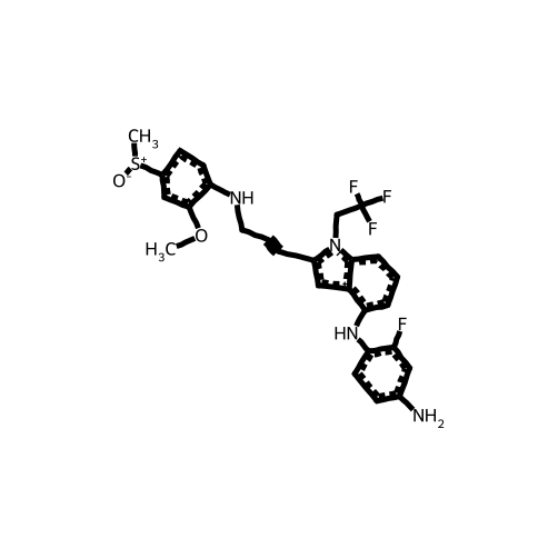 COc1cc([S+](C)[O-])ccc1NCC#Cc1cc2c(Nc3ccc(N)cc3F)cccc2n1CC(F)(F)F